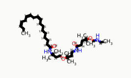 CC/C=C\C/C=C\C/C=C\CCCCCCCC(=O)NC(C)(C)CCOC(C)(C)CCNC(=O)CCC(C)(C)OCNCC